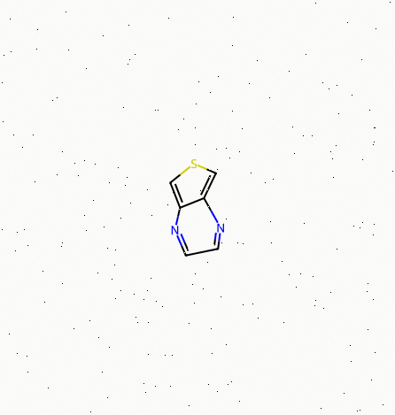 c1cnc2cscc2n1